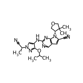 CC(C)Oc1nn([C@@H](C)C#N)cc1Nc1ncc2cc(C#N)n([C@H]3COCC3(C)C)c2n1